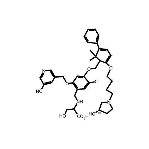 CC1(C)C(c2ccccc2)=CC=C(OCCCCN2CC[C@@H](O)C2)C1COc1cc(OCc2cncc(C#N)c2)c(CNC(CO)C(=O)O)cc1Cl